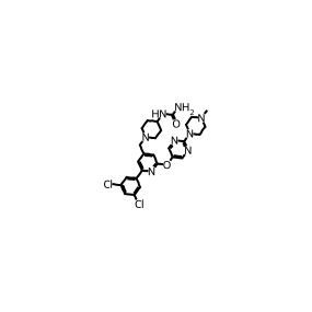 CN1CCN(c2ncc(Oc3cc(CN4CCC(NC(N)=O)CC4)cc(-c4cc(Cl)cc(Cl)c4)n3)cn2)CC1